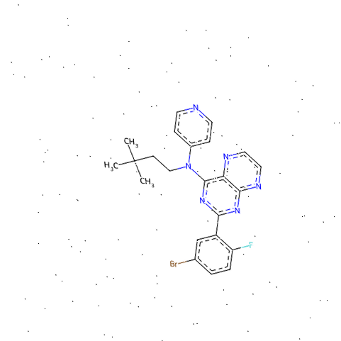 CC(C)(C)CCN(c1ccncc1)c1nc(-c2cc(Br)ccc2F)nc2nccnc12